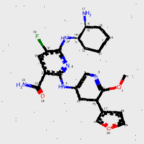 COC1=NC=C(Nc2nc(N[C@@H]3CCCC[C@@H]3N)c(F)cc2C(N)=O)CC1c1ccoc1